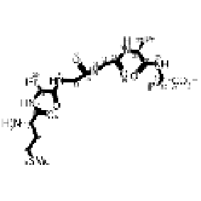 CSCC[C@H](N)C(=O)N[C@H](C(=O)NCC(=O)NCC(=O)N[C@H](C(=O)N[C@H](C(=O)O)C(C)C)C(C)C)C(C)C